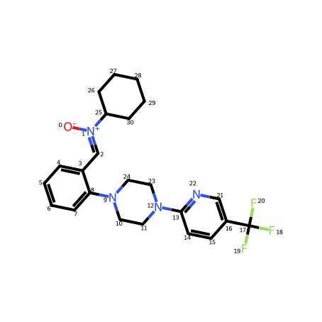 [O-][N+](=Cc1ccccc1N1CCN(c2ccc(C(F)(F)F)cn2)CC1)C1CCCCC1